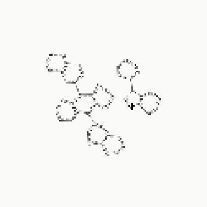 c1ccc(C2C(c3ccc4c(-c5ccc6ccccc6c5)c5ccccc5c(-c5ccc6ccccc6c5)c4c3)=Nc3ccccc32)cc1